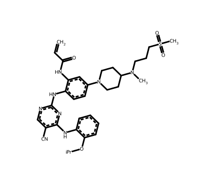 C=CC(=O)Nc1cc(N2CCC(N(C)CCCS(C)(=O)=O)CC2)ccc1Nc1ncc(C#N)c(Nc2ccccc2OC(C)C)n1